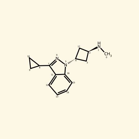 CN[C@H]1C[C@H](n2nc(C3CC3)c3ccccc32)C1